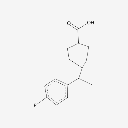 CC(c1ccc(F)cc1)C1CCC(C(=O)O)CC1